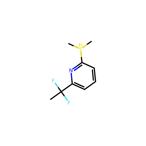 C[SH](C)c1cccc(C(C)(F)F)n1